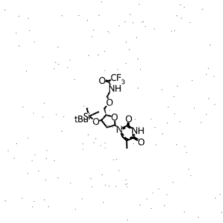 Cc1cn([C@H]2CC(O[Si](C)(C)C(C)(C)C)[C@@H](COCNC(=O)C(F)(F)F)O2)c(=O)[nH]c1=O